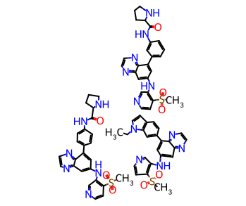 CCn1ccc2ccc(-c3cc(Nc4cnccc4S(C)(=O)=O)cc4nccnc34)cc21.CS(=O)(=O)c1ccncc1Nc1cc(-c2ccc(NC(=O)C3CCCN3)cc2)c2nccnc2c1.CS(=O)(=O)c1ccncc1Nc1cc(-c2cccc(NC(=O)C3CCCN3)c2)c2nccnc2c1